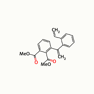 C=Cc1ccccc1C(=C)c1cccc(C(=O)OC)c1C(=O)OC